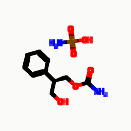 NC(=O)OC[C@@H](CO)c1ccccc1.NS(=O)(=O)O